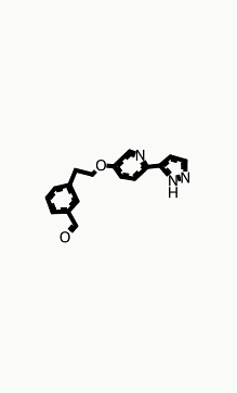 O=Cc1cccc(CCOc2ccc(-c3ccn[nH]3)nc2)c1